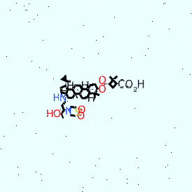 CC(O)C(CCN[C@]12CC[C@@H](C3(C)CC3)[C@@H]1[C@H]1CC[C@@H]3[C@@]4(C)CC[C@H](OC(=O)[C@H]5C[C@@H](C(=O)O)C5(C)C)C(C)(C)[C@@H]4CC[C@@]3(C)[C@]1(C)CC2)N1CCS(=O)(=O)CC1